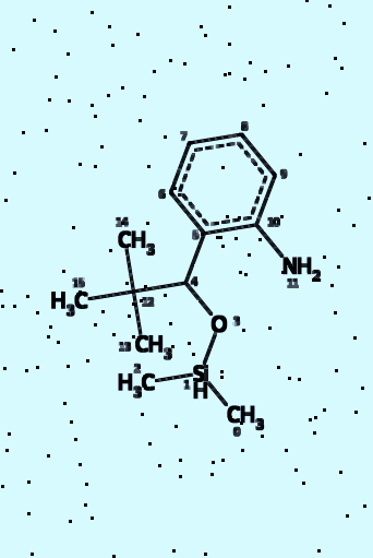 C[SiH](C)OC(c1ccccc1N)C(C)(C)C